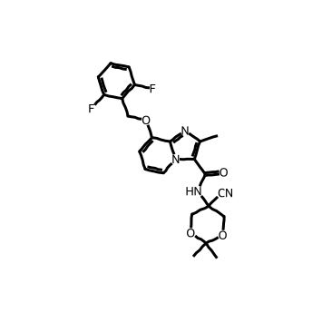 Cc1nc2c(OCc3c(F)cccc3F)cccn2c1C(=O)NC1(C#N)COC(C)(C)OC1